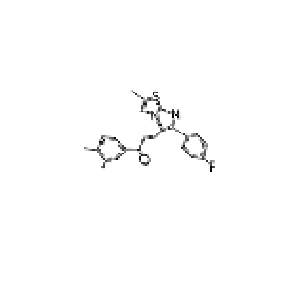 Cc1cn2c(C=CC(=O)c3ccc(C)c(C)c3)c(-c3ccc(F)cc3)nc2s1